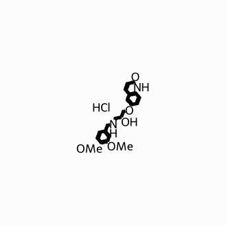 COc1ccc(CNCC(O)COc2ccc3[nH]c(=O)ccc3c2)cc1OC.Cl